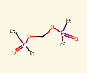 CCP(=O)(CC)OCOP(=O)(CC)CC